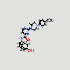 CC1CN(c2ccc(C(C)(C)C)cc2)CCN1c1nccc(C(=O)NC2C3CC4CC2CC(O)(C4)C3)n1